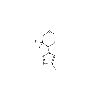 Cc1cn([C@H]2CCOCC2(F)F)nn1